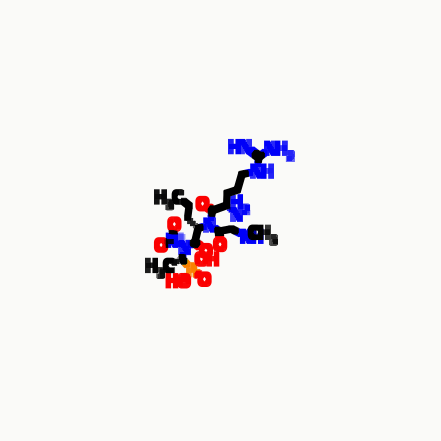 CCC[C@@H](C(=O)N([C@@H](C)P(=O)(O)O)[N+](=O)[O-])N(C(=O)CNC)C(=O)[C@@H](N)CCCNC(=N)N